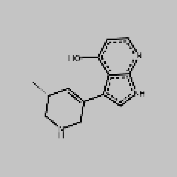 C[C@@H]1C=C(c2c[nH]c3nccc(O)c23)CNC1